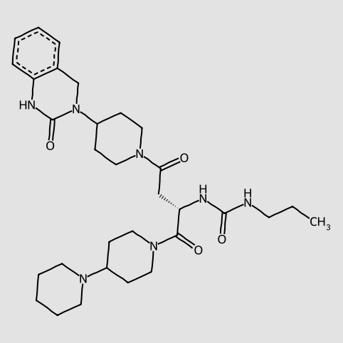 CCCNC(=O)N[C@@H](CC(=O)N1CCC(N2Cc3ccccc3NC2=O)CC1)C(=O)N1CCC(N2CCCCC2)CC1